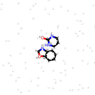 O=c1nccc[nH]1.c1ccc2ocnc2c1